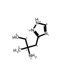 CC(N)(CO)Cc1nc[nH]n1